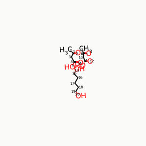 CC(=O)CC(=O)O.CC(=O)CC(=O)O.OCCCCCO